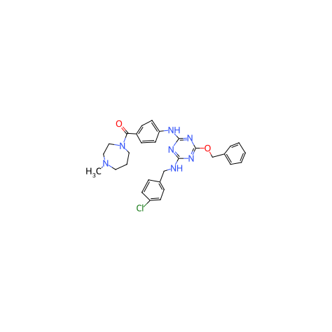 CN1CCCN(C(=O)c2ccc(Nc3nc(NCc4ccc(Cl)cc4)nc(OCc4ccccc4)n3)cc2)CC1